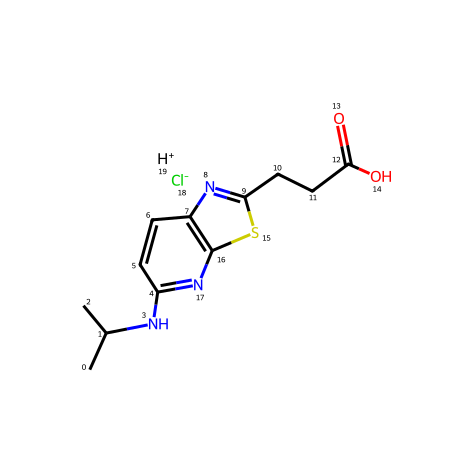 CC(C)Nc1ccc2nc(CCC(=O)O)sc2n1.[Cl-].[H+]